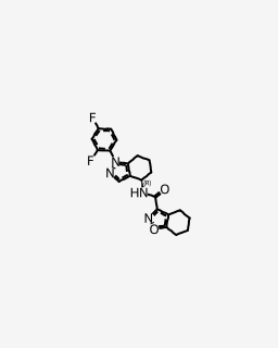 O=C(N[C@@H]1CCCc2c1cnn2-c1ccc(F)cc1F)c1noc2c1CCCC2